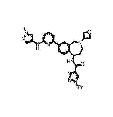 CC(C)n1cc(C(=O)NC2CCN(C3COC3)Cc3cc(-c4ccnc(Nc5cnn(C)c5)n4)ccc32)nn1